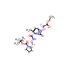 CCOC(=O)[C@H](F)ON1C(=O)N2CC1C=C(C)[C@H]2C(=O)NOC[C@@H]1CCCN1C(=O)OC(C)(C)C